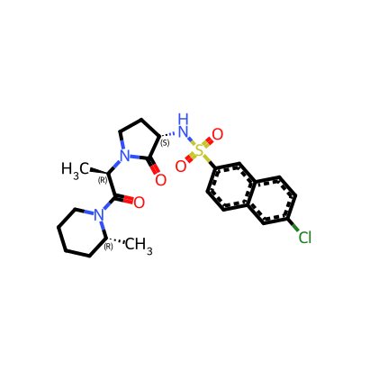 C[C@@H]1CCCCN1C(=O)[C@@H](C)N1CC[C@H](NS(=O)(=O)c2ccc3cc(Cl)ccc3c2)C1=O